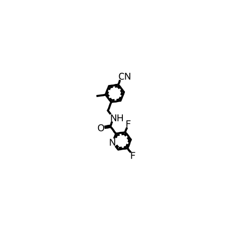 Cc1cc(C#N)ccc1CNC(=O)c1ncc(F)cc1F